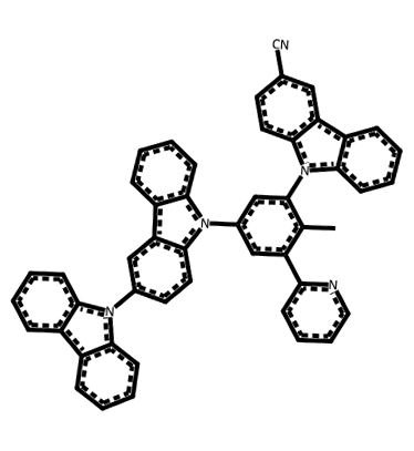 Cc1c(-c2ccccn2)cc(-n2c3ccccc3c3cc(-n4c5ccccc5c5ccccc54)ccc32)cc1-n1c2ccccc2c2cc(C#N)ccc21